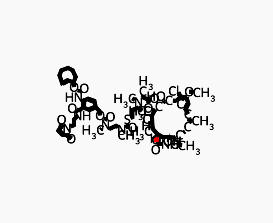 COC1=C(Cl)C2CC(=C1)CC(C)CCC[C@@H](OC)[C@@]1(O)C[C@H](OC(=O)N1)[C@@H](C)[C@@H]1O[C@@]1(C)[C@@H](OC(=O)[C@H](C)N(C)C(=O)CCSC(=O)N(C)CCN(C)C(=O)OCc1ccc(NC(=O)OC3/C=C/CCCCC3)c(C(=O)NCCN3C(=O)C=CC3=O)c1)CC(O)C2